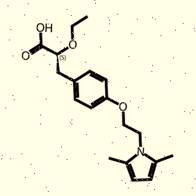 CCO[C@@H](Cc1ccc(OCCn2c(C)ccc2C)cc1)C(=O)O